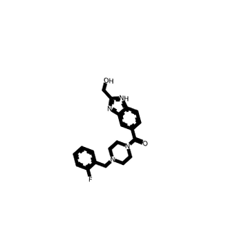 O=C(c1ccc2[nH]c(CO)nc2c1)N1CCN(Cc2ccccc2F)CC1